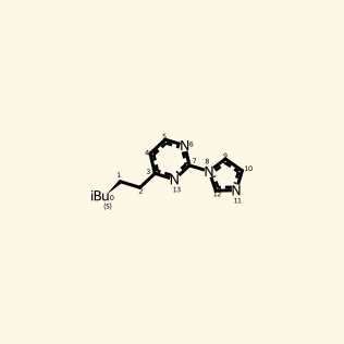 CC[C@H](C)CCc1ccnc(-n2ccnc2)n1